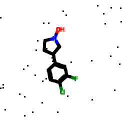 ON1CCC(c2ccc(Cl)c(F)c2)C1